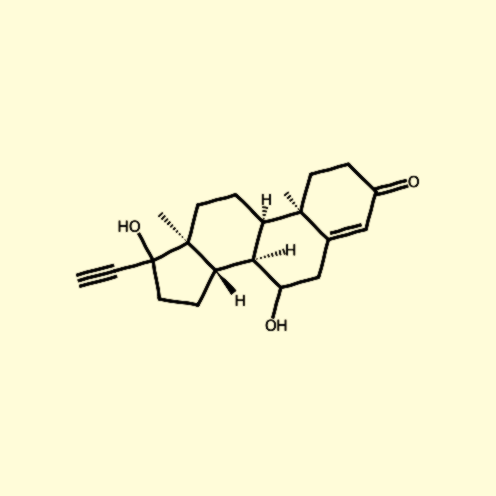 C#CC1(O)CC[C@H]2[C@@H]3C(O)CC4=CC(=O)CC[C@]4(C)[C@@H]3CC[C@@]21C